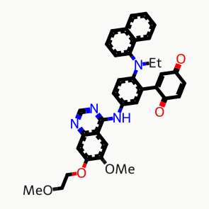 CCN(c1ccc(Nc2ncnc3cc(OCCOC)c(OC)cc23)cc1C1=CC(=O)C=CC1=O)c1cccc2ccccc12